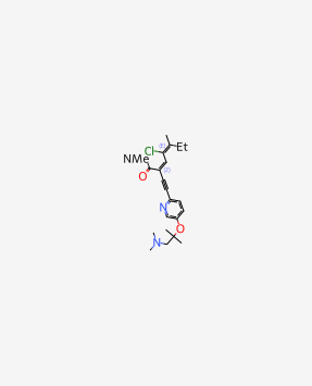 CC/C(C)=C(Cl)\C=C(\C#Cc1ccc(OC(C)(C)CN(C)C)cn1)C(=O)NC